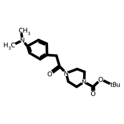 CN(C)c1ccc(CC(=O)N2CCN(C(=O)OC(C)(C)C)CC2)cc1